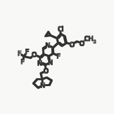 COCOc1cc(Cl)c(C2CC2)c(-c2ncc3c(OCC(F)(F)F)nc(OCC45CCCN4CCC5)nc3c2F)c1